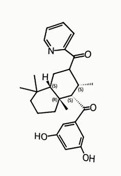 C[C@H]1C(C(=O)c2ccccn2)C[C@H]2C(C)(C)CCC[C@@]2(C)[C@H]1C(=O)c1cc(O)cc(O)c1